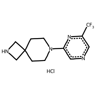 Cl.FC(F)(F)c1cncc(N2CCC3(CC2)CNC3)n1